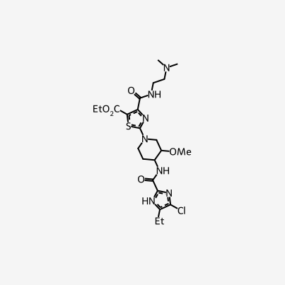 CCOC(=O)c1sc(N2CCC(NC(=O)c3nc(Cl)c(CC)[nH]3)C(OC)C2)nc1C(=O)NCCN(C)C